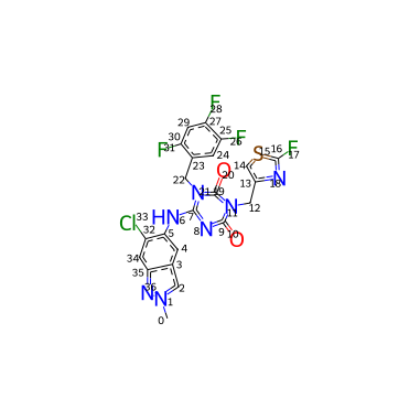 Cn1cc2cc(Nc3nc(=O)n(Cc4csc(F)n4)c(=O)n3Cc3cc(F)c(F)cc3F)c(Cl)cc2n1